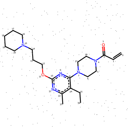 C=CC(=O)N1CCN(c2nc(OCCCN3CCCCC3)nc(C)c2CC)CC1